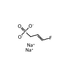 O=P([O-])([O-])CC=CF.[Na+].[Na+]